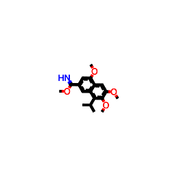 COC(=N)c1cc(OC)c2cc(OC)c(OC)c(C(C)C)c2c1